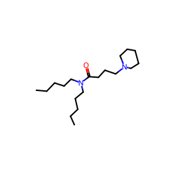 CCCCCN(CCCCC)C(=O)CCCN1CCCCC1